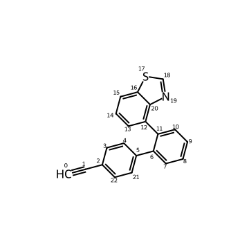 C#Cc1ccc(-c2ccccc2-c2cccc3scnc23)cc1